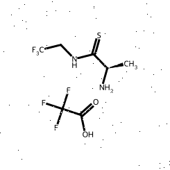 C[C@@H](N)C(=S)NCC(F)(F)F.O=C(O)C(F)(F)F